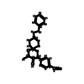 COc1ccc(N2CC3(CCN(CCc4ccccc4)CC3)OC(C)C2=O)cc1